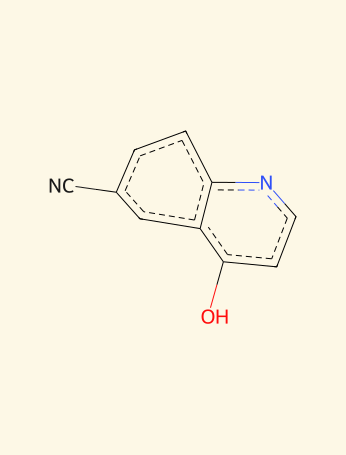 N#Cc1ccc2nccc(O)c2c1